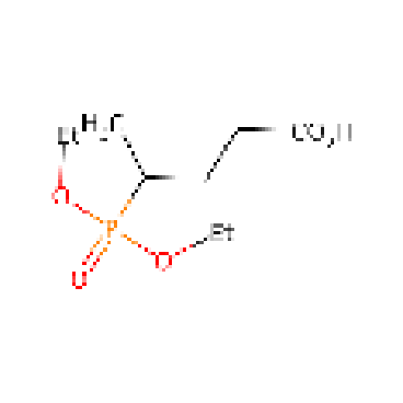 CCOP(=O)(OCC)C(C)CCC(=O)O